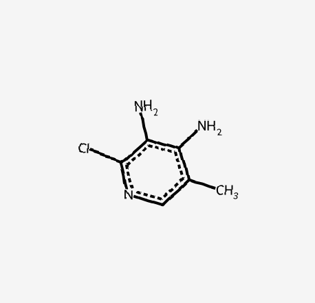 Cc1cnc(Cl)c(N)c1N